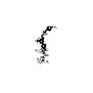 CC(C)(C)OC(=O)NCCN(C(=O)c1ccc(-c2cc(C(F)(F)F)c3oc(CNC(=O)/C=C/c4ccc(N)nc4)cc3c2)cc1)C(C)(C)C